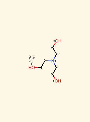 OCCN(CCO)CCO.[Au]